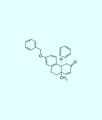 CC12C=CC(=O)[C@@H](c3ccccc3)[C@@H]1c1ccc(OCc3ccccc3)cc1CC2